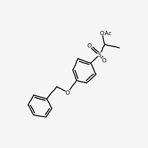 CC(=O)OC(C)S(=O)(=O)c1ccc(OCc2ccccc2)cc1